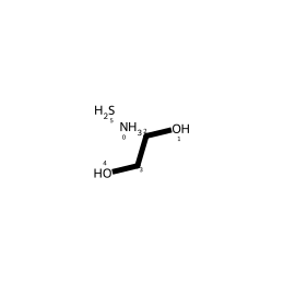 N.OCCO.S